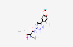 Cc1cc2c(cc1-c1cnc(NC(=O)c3c(C(C)C)noc3C)cn1)OC(F)(F)O2